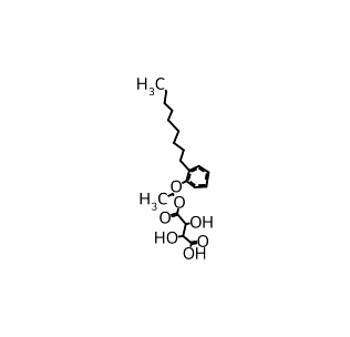 CCCCCCCCCc1ccccc1OC(C)OC(=O)C(O)C(O)C(=O)O